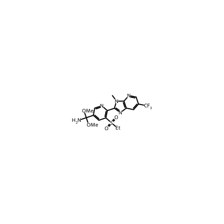 CCS(=O)(=O)c1cc(C(N)(OC)OC)cnc1-c1nc2cc(C(F)(F)F)cnc2n1C